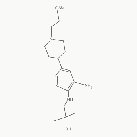 COCCN1CCC(c2ccc(NCC(C)(C)O)c(N)c2)CC1